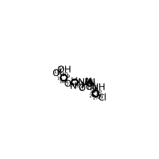 O=C(Nc1ccc(O[C@H]2CC[C@@H](C(=O)O)CC2)nc1)c1nnc(Nc2cccc(Cl)c2)o1